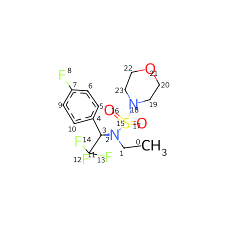 CCN([C@H](c1ccc(F)cc1)C(F)(F)F)S(=O)(=O)N1CCOCC1